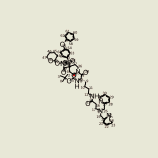 CC(C)(C)OC(=O)N[C@@H](CCCCNC(=O)CCN(Cc1ccccn1)Cc1ccccn1)C(=O)N1CCC(C(=O)NOC2CCCCO2)(S(=O)(=O)c2ccc(Oc3ccccc3)cc2)CC1